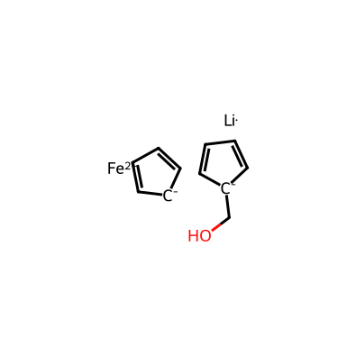 OC[c-]1cccc1.[Fe+2].[Li].c1cc[cH-]c1